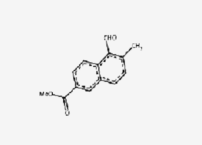 COC(=O)c1ccc2c(C=O)c(C)ccc2c1